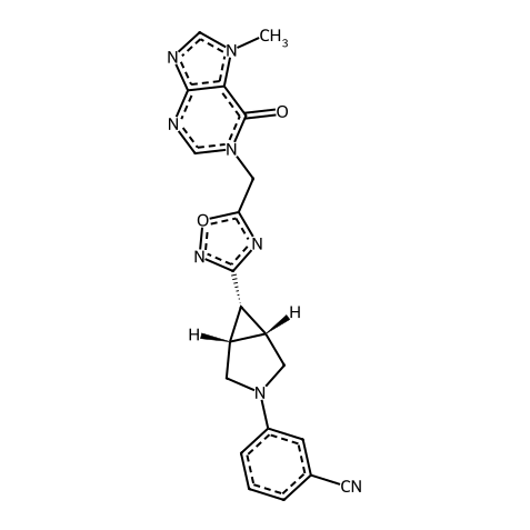 Cn1cnc2ncn(Cc3nc([C@@H]4[C@@H]5CN(c6cccc(C#N)c6)C[C@@H]54)no3)c(=O)c21